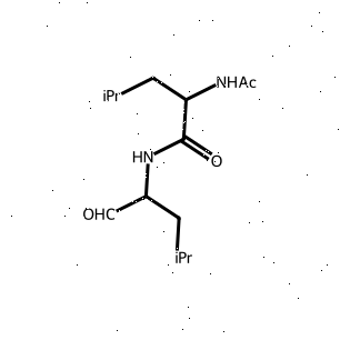 CC(=O)NC(CC(C)C)C(=O)NC(C=O)CC(C)C